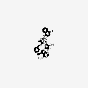 C#Cc1cn([C@@H]2O[C@H](COP(=O)(NC(C)C(=O)OCc3ccccc3)Oc3ccc(Cl)c4ccccc34)[C@@H](O)[C@@]2(C)F)c2ncnc(N)c12